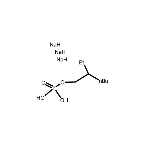 CCCCC(CC)COP(=O)(O)O.[NaH].[NaH].[NaH]